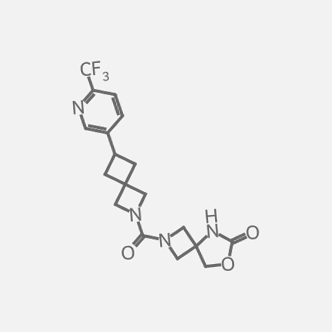 O=C1NC2(CO1)CN(C(=O)N1CC3(CC(c4ccc(C(F)(F)F)nc4)C3)C1)C2